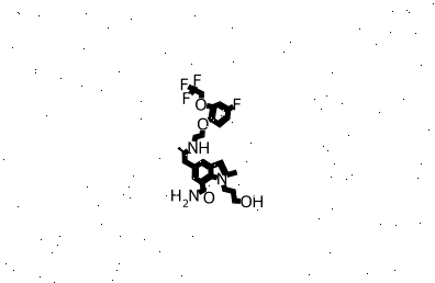 Cc1cc2cc(C[C@@H](C)NCCOc3ccc(F)cc3OCC(F)(F)F)cc(C(N)=O)c2n1CCCO